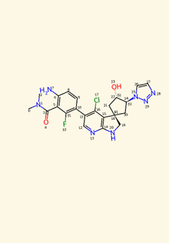 CN(C)C(=O)c1c(N)ccc(-c2cnc3c(c2Cl)[C@]2(CN3)C[C@H](O)[C@@H](n3ccnn3)C2)c1F